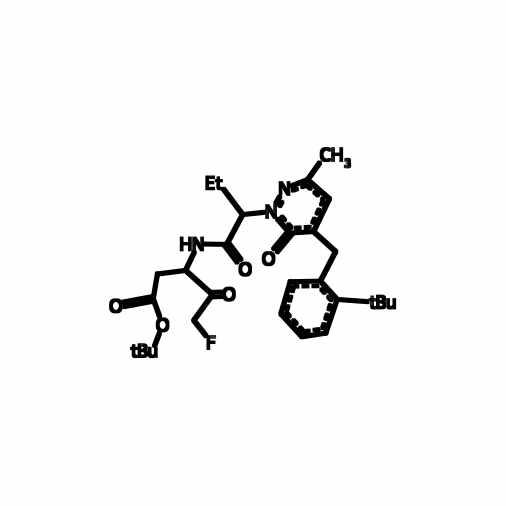 CCC(C(=O)NC(CC(=O)OC(C)(C)C)C(=O)CF)n1nc(C)cc(Cc2ccccc2C(C)(C)C)c1=O